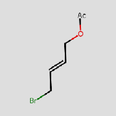 CC(=O)OC/C=C/CBr